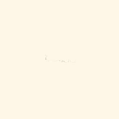 N[C@@H](CCCCNCCNCC(=O)O)C(=O)O